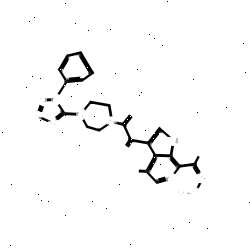 CO/N=C(/C)c1ncc(F)c2c(C(=O)C(=O)N3CCN(c4nnnn4-c4ccccc4)CC3)c[nH]c12